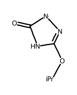 CC(C)OC1=N[N]C(=O)N1